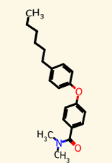 CCCCCCc1ccc(Oc2ccc(C(=O)N(C)C)cc2)cc1